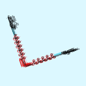 O=[Si]([O-])[O-].O=[Si]([O-])[O-].O=[Si]([O-])[O-].O=[Si]([O-])[O-].O=[Si]([O-])[O-].O=[Si]([O-])[O-].O=[Si]([O-])[O-].O=[Si]([O-])[O-].O=[Si]([O-])[O-].O=[Si]([O-])[O-].O=[Si]([O-])[O-].[Al+3].[Al+3].[Al+3].[Al+3].[Ca+2].[Ca+2].[Ca+2].[Ca+2].[F-].[F-].[F-].[F-].[F-].[F-].[F-].[F-].[F-].[F-].[F-].[Fe+3].[Fe+3].[Fe+3].[Fe+3].[Mg+2].[Mg+2].[Mg+2].[Mg+2].[Na+].[Na+].[Na+].[Na+].[OH-].[OH-].[OH-].[OH-].[OH-].[OH-].[OH-].[OH-].[OH-].[OH-].[OH-]